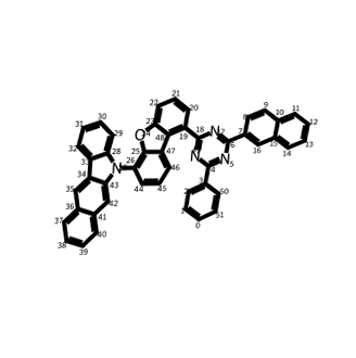 c1ccc(-c2nc(-c3ccc4ccccc4c3)nc(-c3cccc4oc5c(-n6c7ccccc7c7cc8ccccc8cc76)cccc5c34)n2)cc1